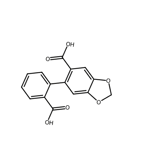 O=C(O)c1ccccc1-c1cc2c(cc1C(=O)O)OCO2